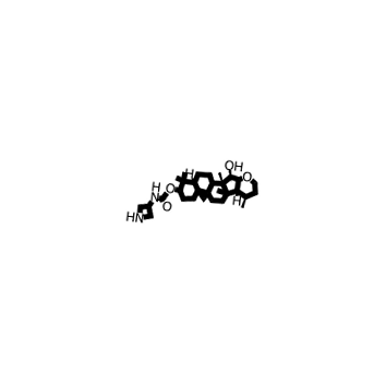 C[C@@H]1CCOC2[C@H]1C1(C)CCC34CC35CCC(OC(=O)NC3CNC3)C(C)(C)[C@@H]5CCC4[C@]1(C)[C@H]2O